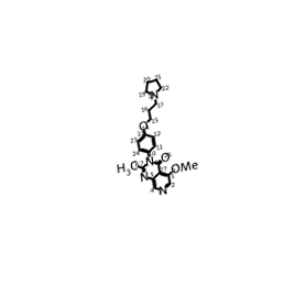 COc1cncc2nc(C)n(-c3ccc(OCCCN4CCCC4)cc3)c(=O)c12